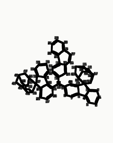 c1ccc2c(c1)-c1ccc(N(c3ccc4c(ccc5ccccc54)c3)c3cccc4c3-c3ccccc3C43C4CCC5CC(C4)CC3C5)cc1C21C2CCC3CC(C2)CC1C3